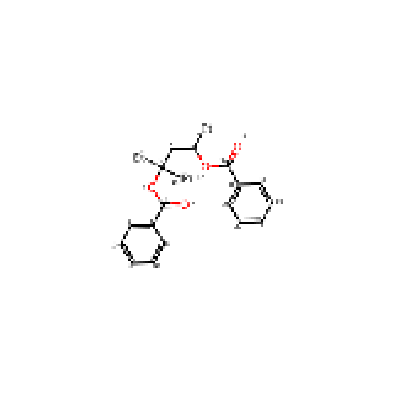 CCC(CC(CC)(OC(=O)c1ccccc1)C(C)C)OC(=O)c1ccccc1